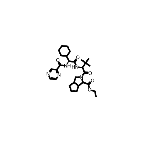 CCOC(=O)C1C2CCCC2CN1C(=O)[C@@H](NC(=O)[C@@H](NC(=O)c1cnccn1)C1CCCCC1)C(C)(C)C